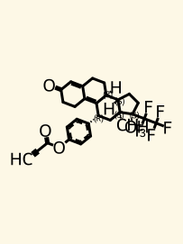 C#CC(=O)Oc1ccc([C@H]2C[C@@]3(C)[C@@H](CC[C@@]3(O)C(F)(F)C(F)(F)F)[C@@H]3CCC4=CC(=O)CCC4=C32)cc1